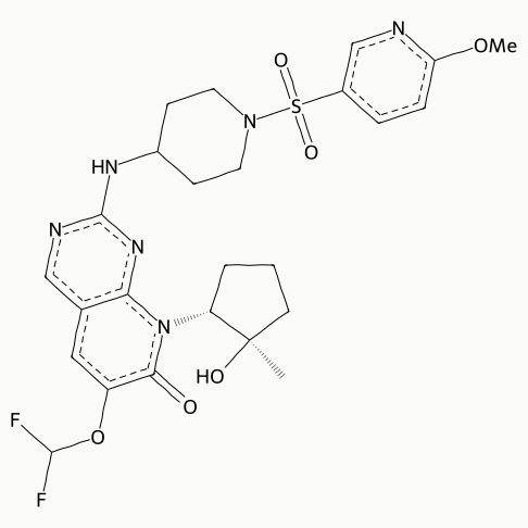 COc1ccc(S(=O)(=O)N2CCC(Nc3ncc4cc(OC(F)F)c(=O)n([C@@H]5CCC[C@@]5(C)O)c4n3)CC2)cn1